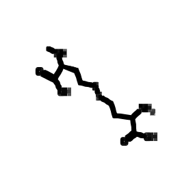 CN[C@@H](CCSSCCC(N)C(=O)O)C(=O)O